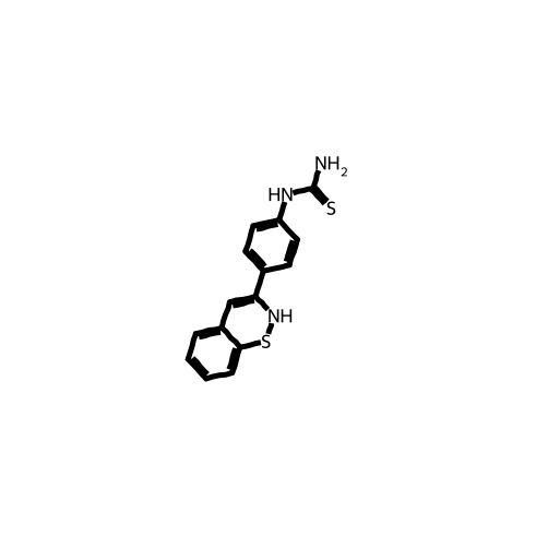 NC(=S)Nc1ccc(C2=Cc3ccccc3SN2)cc1